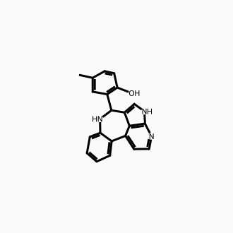 Cc1ccc(O)c(C2Nc3ccccc3-c3ccnc4[nH]cc2c34)c1